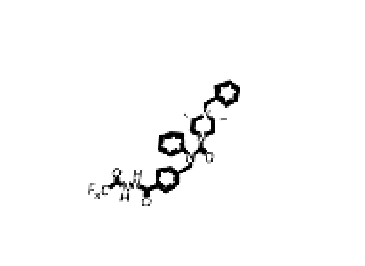 C[C@@H]1CN(C(=O)N(Cc2ccc(C(=O)NNC(=O)C(F)(F)F)cc2)c2ccccc2)C[C@H](C)N1Cc1ccccc1